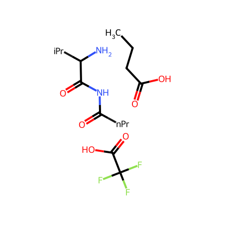 CCCC(=O)NC(=O)C(N)C(C)C.CCCC(=O)O.O=C(O)C(F)(F)F